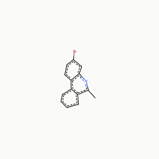 Cc1nc2cc(Br)ccc2c2ccccc12